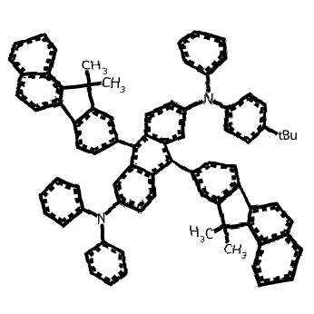 CC(C)(C)c1ccc(N(c2ccccc2)c2ccc3c(-c4ccc5c(c4)C(C)(C)c4c-5ccc5ccccc45)c4cc(N(c5ccccc5)c5ccccc5)ccc4c(-c4ccc5c(c4)C(C)(C)c4c-5ccc5ccccc45)c3c2)cc1